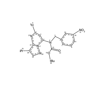 [2H]c1cc(N(Cc2cccc([N+](=O)[O-])c2)C(=O)OC(C)(C)C)n2ncc(C(C)C)c2n1